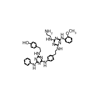 COc1ccccc1Nc1nc(NCCN)nc(NCCc2ccc(Nc3nc(NCCc4ccc(O)cc4)nc(Nc4ccccc4)n3)cc2)n1